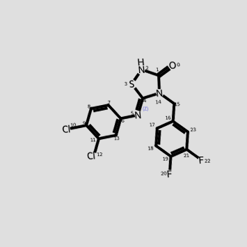 O=c1[nH]s/c(=N\c2ccc(Cl)c(Cl)c2)n1Cc1ccc(F)c(F)c1